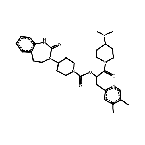 Cc1cnc(CC(OC(=O)N2CCC(N3CCc4ccccc4NC3=O)CC2)C(=O)N2CCC(N(C)C)CC2)cc1C